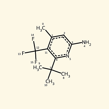 Cc1cc(N)nc(C(C)(C)C)c1C(F)(F)F